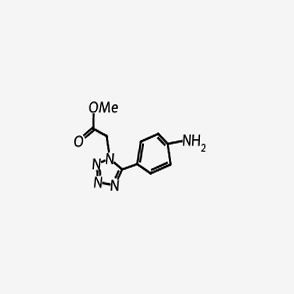 COC(=O)Cn1nnnc1-c1ccc(N)cc1